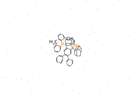 Cc1ccccc1P(Cc1cc(-c2ccccc2)c(-c2ccccc2)cc1C(P)(C12CC3CC(CC(C3)C1)C2)C12CC3CC(CC(C3)C1)C2)c1ccccc1C